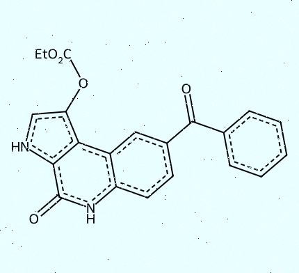 CCOC(=O)Oc1c[nH]c2c(=O)[nH]c3ccc(C(=O)c4ccccc4)cc3c12